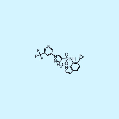 Cn1ncc2ccc(C3CC3)c(NS(=O)(=O)c3cnn(-c4cncc(C(F)(F)F)c4)c3)c21